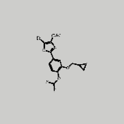 CCc1oc(-c2ccc(OC(F)F)c(OCC3CC3)c2)nc1OC(C)=O